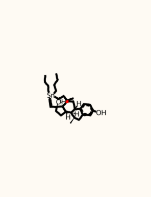 CCC[CH2][Sn](/[CH]=C\[C@]1(O)CC[C@H]2[C@@H]3[C@H](C)Cc4cc(O)ccc4[C@H]3CC[C@@]21C)([CH2]CCC)[CH2]CCC